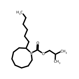 CCCCCCC1CCCCCCCN1C(=O)OCC(C)C